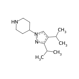 CC(C)c1cn(C2CCNCC2)nc1C(C)C